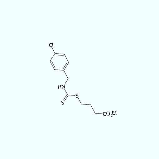 CCOC(=O)CCCSC(=S)NCc1ccc(Cl)cc1